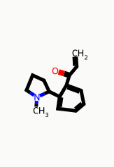 C=CC(=O)c1ccccc1C1CCCN1C